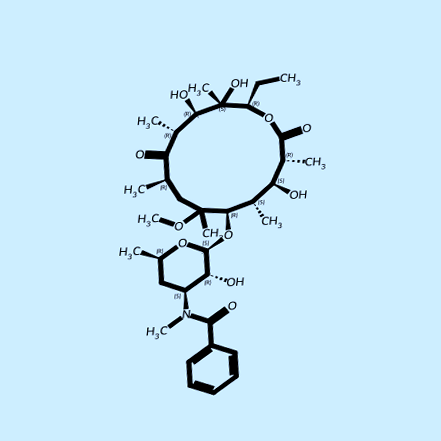 CC[C@H]1OC(=O)[C@H](C)[C@@H](O)[C@H](C)[C@@H](O[C@@H]2O[C@H](C)C[C@H](N(C)C(=O)c3ccccc3)[C@H]2O)C(C)(OC)C[C@@H](C)C(=O)[C@H](C)[C@@H](O)[C@]1(C)O